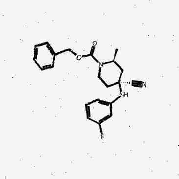 C[C@H]1C[C@@](C#N)(Nc2cccc(F)c2)CCN1C(=O)OCc1ccccc1